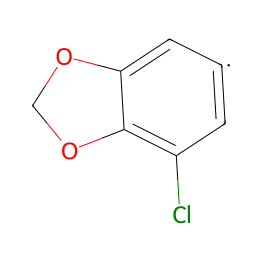 Clc1c[c]cc2c1OCO2